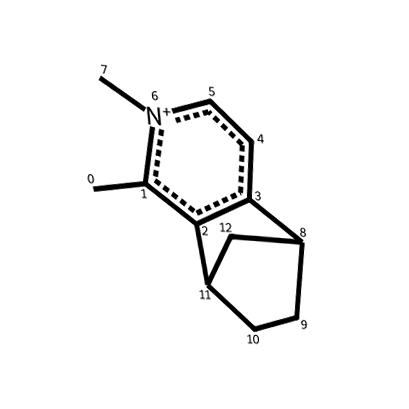 Cc1c2c(cc[n+]1C)C1CCC2C1